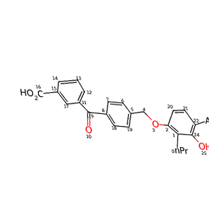 CCCc1c(OCc2ccc(C(=O)c3cccc(C(=O)O)c3)cc2)ccc(C(C)=O)c1O